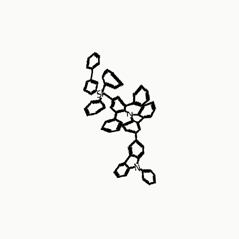 c1ccc(-c2cccc([Si](c3ccccc3)(c3ccccc3)c3cc(-c4ccccc4)c(-n4c5ccccc5c5cc(-c6ccc7c(c6)c6ccccc6n7-c6ccccc6)ccc54)c(-c4ccccc4)c3)c2)cc1